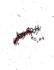 O=C(O)CCCCCCCCCCCCCCCCC(=O)N[C@@H](CCC(=O)N[C@@H](CCC(=O)NCCOCCOCC(=O)NCCOCCOCC(=O)NCCOCCOCC(=O)NCCOCCOCC(=O)N[C@@H](Cc1ccc(O)cc1)C(=O)I)C(=O)O)C(=O)O